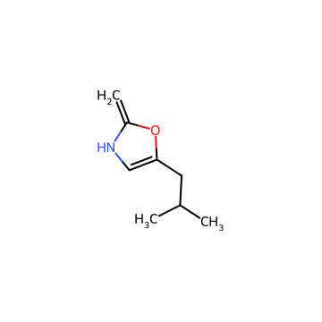 C=C1NC=C(CC(C)C)O1